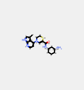 Cc1c[nH]c2nccc(N3C=C(C(=O)N[C@H]4CCC[C@@H](N)C4)SCC3)c12